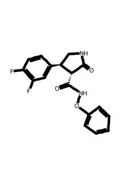 O=C1NC[C@H](c2ccc(F)c(F)c2)[C@H]1C(=O)NOc1ccccc1